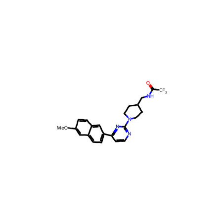 COc1ccc2cc(-c3ccnc(N4CCC(CNC(=O)C(F)(F)F)CC4)n3)ccc2c1